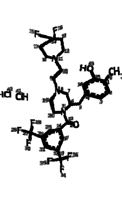 Cc1ccc(CC2CN(CCN3CCC(F)(F)CC3)CCN2C(=O)c2cc(C(F)(F)F)cc(C(F)(F)F)c2)cc1O.Cl.Cl